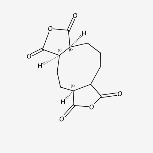 O=C1OC(=O)[C@H]2CC[C@H]3C(=O)OC(=O)[C@H]3CCCC12